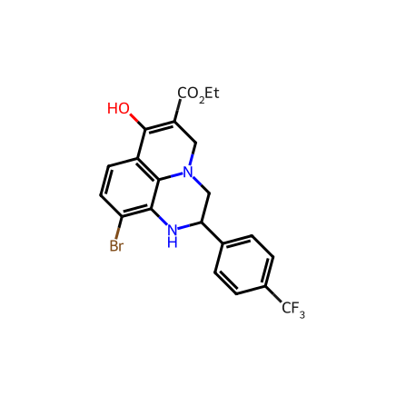 CCOC(=O)C1=C(O)c2ccc(Br)c3c2N(C1)CC(c1ccc(C(F)(F)F)cc1)N3